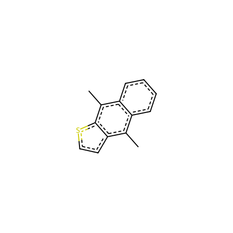 Cc1c2ccccc2c(C)c2sccc12